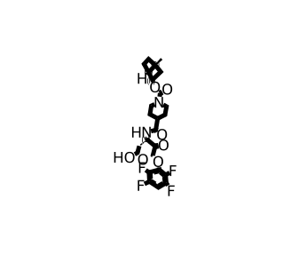 C[C@]12CC[C@H]1[C@H](OC(=O)N1CCC(C(=O)N[C@@H](CC(=O)O)C(=O)COc3c(F)c(F)cc(F)c3F)CC1)C2